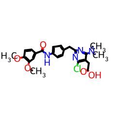 COc1ccc(C(=O)Nc2ccc(Cc3nc(Cl)c(CC(=O)O)c(N(C)C)n3)cc2)cc1OC